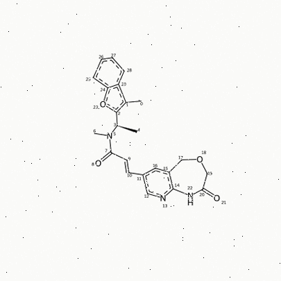 Cc1c([C@@H](C)N(C)C(=O)C=Cc2cnc3c(c2)COCC(=O)N3)oc2ccccc12